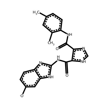 Cc1ccc(NC(=O)c2nc[nH]c2C(=O)Nc2nc3ccc([O])cc3[nH]2)c(C)c1